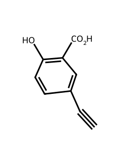 C#Cc1ccc(O)c(C(=O)O)c1